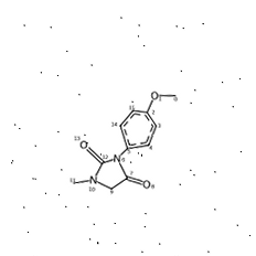 COc1ccc(N2C(=O)CN(C)C2=O)cc1